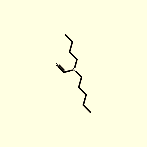 CCCCCN(C=S)CCCC